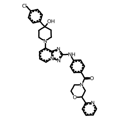 O=C(c1ccc(Nc2nc3c(N4CCC(O)(c5ccc(Cl)cc5)CC4)cccn3n2)cc1)N1CCOC(c2ccccn2)C1